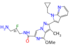 COc1nc(C(=O)NC[C@H](F)CN)cn2nc(-c3cc4cccnc4n3CC3CC3)c(C)c12